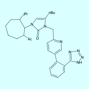 CCCCc1cn(C2C(C(C)=O)CCCCC2C(C)C)c(=O)n1Cc1ccc(-c2ccccc2-c2nnn[nH]2)cn1